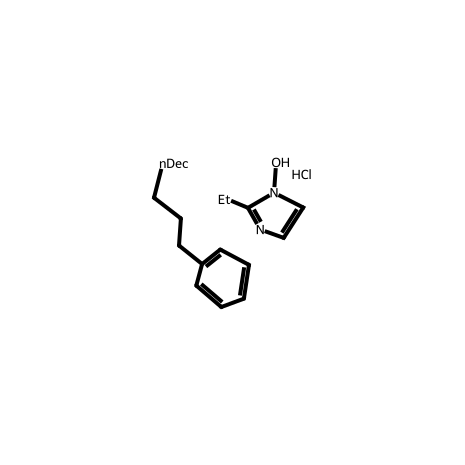 CCCCCCCCCCCCCc1ccccc1.CCc1nccn1O.Cl